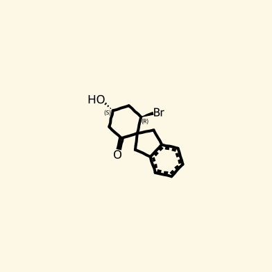 O=C1C[C@H](O)C[C@@H](Br)C12Cc1ccccc1C2